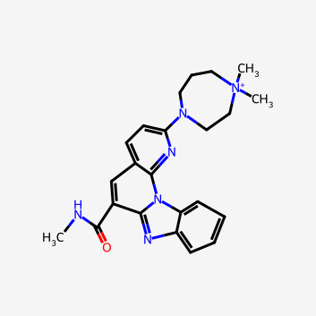 CNC(=O)c1cc2ccc(N3CCC[N+](C)(C)CC3)nc2n2c1nc1ccccc12